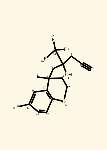 C#CCC(O)(CC1(C)CCOc2ccc(F)cc21)C(F)(F)F